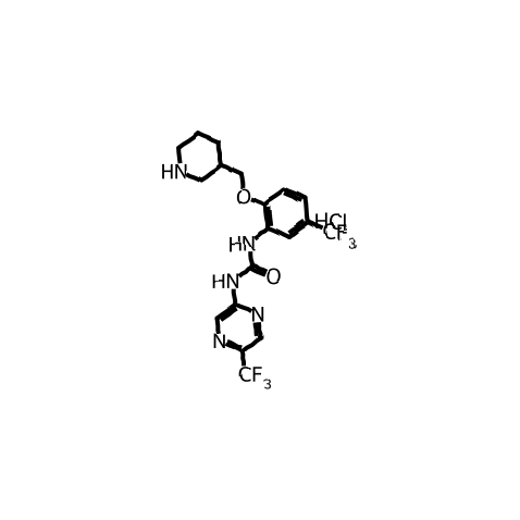 Cl.O=C(Nc1cnc(C(F)(F)F)cn1)Nc1cc(C(F)(F)F)ccc1OCC1CCCNC1